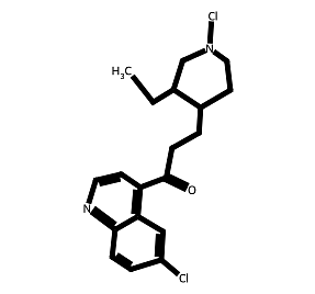 CCC1CN(Cl)CCC1CCC(=O)c1ccnc2ccc(Cl)cc12